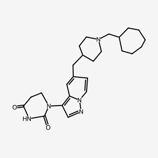 O=C1CCN(c2cnn3ccc(CC4CCN(CC5CCCCCC5)CC4)cc23)C(=O)N1